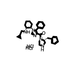 Cl.Cl.O=C(c1ncn([C@H]2CCCC[C@H]2NCC2CC2)c1-c1ccccc1)N1CCNC[C@H]1Cc1ccccc1